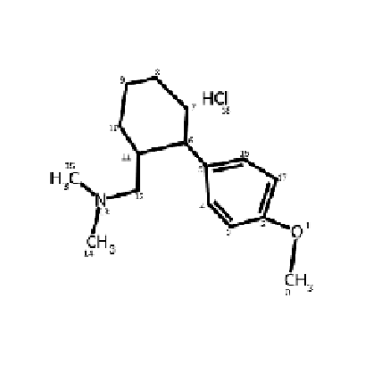 COc1ccc(C2CCCCC2CN(C)C)cc1.Cl